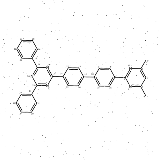 Cc1cc(C)nc(-c2ccc(-c3ccc(-c4nc(-c5ccccc5)nc(-c5ccccc5)n4)cc3)cc2)n1